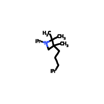 CC(C)CCCC1(C)CN(C(C)C)C1(C)C